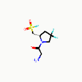 NCC(=O)N1CC(F)(F)C[C@H]1[CH]S(=O)(=O)F